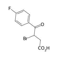 O=C(O)CC(Br)C(=O)c1ccc(F)cc1